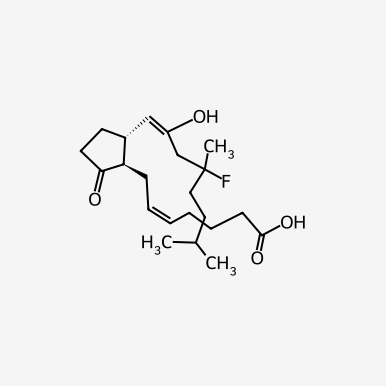 CC(C)CCC(C)(F)C/C(O)=C\[C@H]1CCC(=O)[C@@H]1CC=CCCCC(=O)O